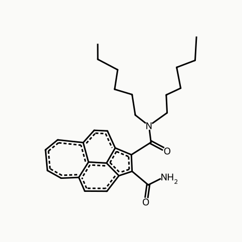 CCCCCCN(CCCCCC)C(=O)c1c(C(N)=O)c2ccc3ccccc4ccc1c2c34